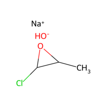 CC1OC1Cl.[Na+].[OH-]